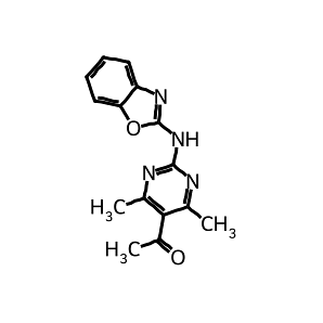 CC(=O)c1c(C)nc(Nc2nc3ccccc3o2)nc1C